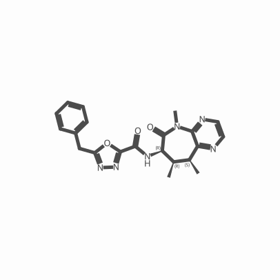 C[C@@H]1[C@H](C)c2nccnc2N(C)C(=O)[C@@H]1NC(=O)c1nnc(Cc2ccccc2)o1